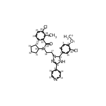 COc1ccc(C2NC(c3ccncc3)=NN2CCN(C(=O)c2cccc(Cl)c2C)C2CCCC2)cc1Cl